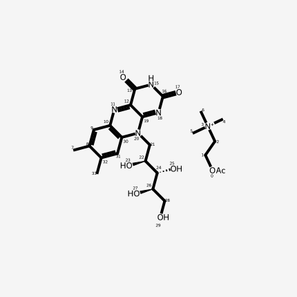 CC(=O)OCC[N+](C)(C)C.Cc1cc2nc3c(=O)[nH]c(=O)nc-3n(C[C@H](O)[C@H](O)[C@H](O)CO)c2cc1C